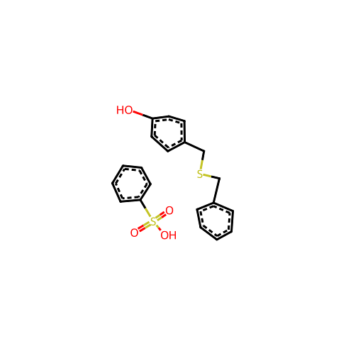 O=S(=O)(O)c1ccccc1.Oc1ccc(CSCc2ccccc2)cc1